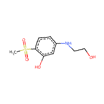 CS(=O)(=O)c1ccc(NCCO)cc1O